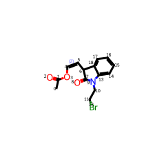 CC(=O)O/C=C\C1C(=O)N(CCBr)c2ccccc21